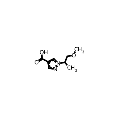 COCC(C)n1cc(C(=O)O)cn1